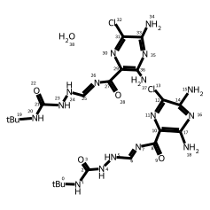 CC(C)(C)NC(=O)NNC=NC(=O)c1nc(Cl)c(N)nc1N.CC(C)(C)NC(=O)NNC=NC(=O)c1nc(Cl)c(N)nc1N.O